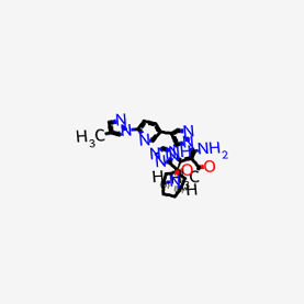 CC(=O)c1c([C@H]2C[C@H]3CC[C@@H](C2)N3C(=O)c2nnc[nH]2)nc2c(-c3ccc(-n4cc(C)cn4)nc3)cnn2c1N